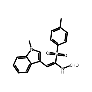 Cc1ccc(S(=O)(=O)C(=Cc2cn(C)c3ccccc23)NC=O)cc1